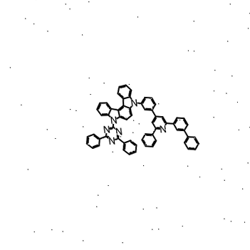 c1ccc(-c2cccc(-c3cc(-c4cccc(-n5c6ccccc6c6c7c8ccccc8n(-c8nc(-c9ccccc9)nc(-c9ccccc9)n8)c7ccc65)c4)cc(-c4ccccc4)n3)c2)cc1